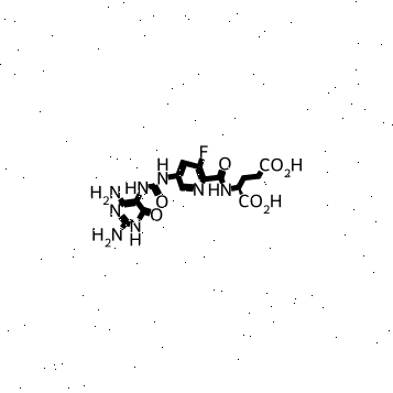 Nc1nc(N)c(NC(=O)Nc2cnc(C(=O)N[C@@H](CCC(=O)O)C(=O)O)c(F)c2)c(=O)[nH]1